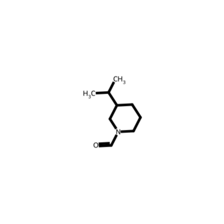 CC(C)C1CCCN(C=O)C1